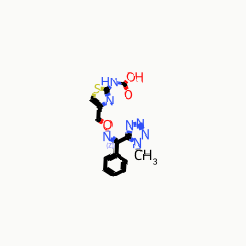 Cn1nnnc1/C(=N\OCc1csc(NC(=O)O)n1)c1ccccc1